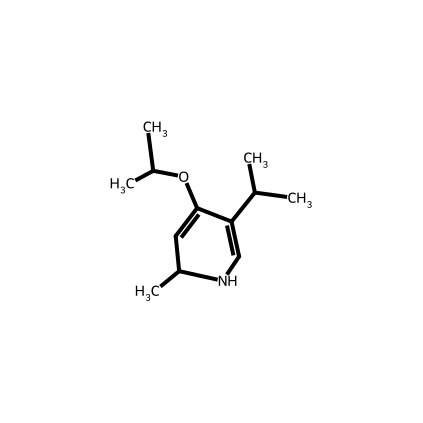 CC1C=C(OC(C)C)C(C(C)C)=CN1